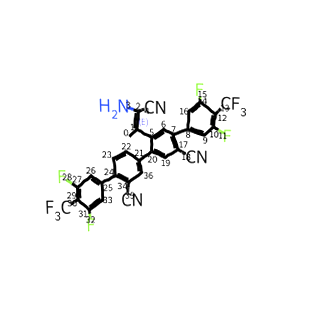 C/C(=C(\N)C#N)c1cc(-c2cc(F)c(C(F)(F)F)c(F)c2)c(C#N)cc1-c1ccc(-c2cc(F)c(C(F)(F)F)c(F)c2)c(C#N)c1